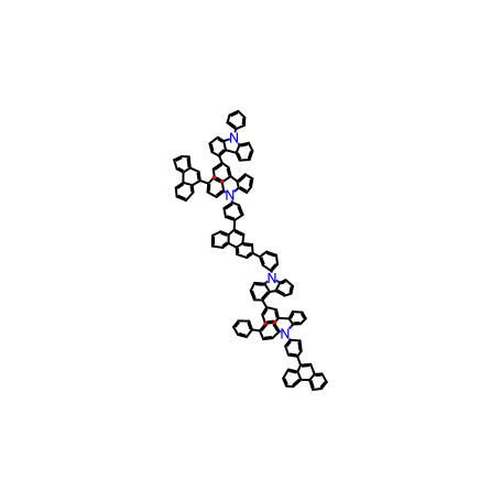 c1ccc(-c2ccc(N(c3ccc(-c4cc5ccccc5c5ccccc45)cc3)c3ccccc3-c3cccc(-c4cccc5c4c4ccccc4n5-c4cccc(-c5ccc6c(c5)cc(-c5ccc(N(c7ccc(-c8cc9ccccc9c9ccccc89)cc7)c7ccccc7-c7cccc(-c8cccc9c8c8ccccc8n9-c8ccccc8)c7)cc5)c5ccccc56)c4)c3)cc2)cc1